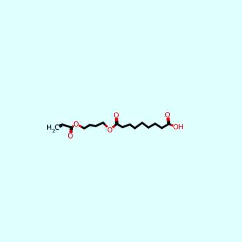 C=CC(=O)OCCCCOC(=O)CCCCCCCC(=O)O